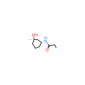 CCC(=O)N[C@@H]1CCC[C@@](C)(O)C1